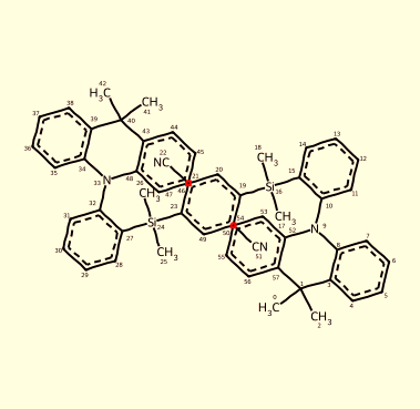 CC1(C)c2ccccc2N(c2ccccc2[Si](C)(C)c2cc(C#N)c([Si](C)(C)c3ccccc3N3c4ccccc4C(C)(C)c4ccccc43)cc2C#N)c2ccccc21